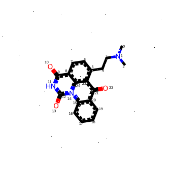 CN(C)CCc1ccc2c(=O)[nH]c(=O)n3c4ccccc4c(=O)c1c23